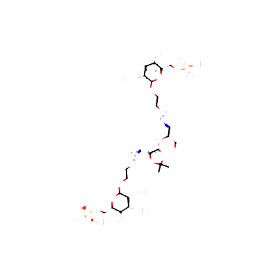 CC1(C)O[C@H](O[C@@H](/C=N/OCCOC2O[C@H](COP(=O)(O)O)[C@@H](O)[C@H](O)[C@@H]2O)CO)[C@@H](/C=N\OCCOC2O[C@H](COP(=O)(O)O)[C@@H](O)[C@H](O)[C@@H]2O)O1